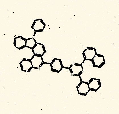 c1ccc(-n2c3ccccc3c3c4c(ccc32)c(-c2ccc(-c3nc(-c5cccc6ccccc56)nc(-c5cccc6ccccc56)n3)cc2)nc2ccccc24)cc1